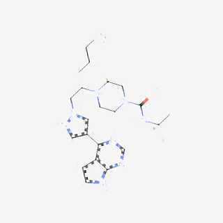 CC(C)[C@@H](C)NC(=O)N1CCN([C@@H](CCCC#N)Cn2cc(-c3ncnc4[nH]ccc34)cn2)CC1